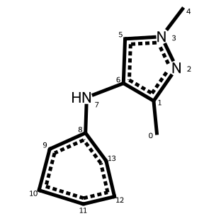 Cc1nn(C)cc1Nc1ccccc1